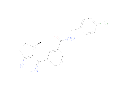 C[C@@H]1CCc2ncnc(-c3cccc(C(=O)NCc4ccc(Cl)cc4)c3)c21